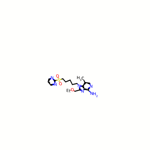 CCOCc1nc2c(N)ncc(C)c2n1CCCCCS(=O)(=O)c1ncccn1